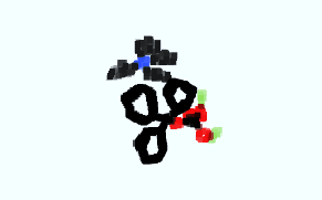 CCCC[N+](CCCC)(CCCC)CCCC.[O-][Si](OF)(OF)O[Si](c1ccccc1)(c1ccccc1)c1ccccc1